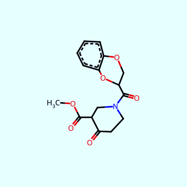 COC(=O)C1CN(C(=O)C2COc3ccccc3O2)CCC1=O